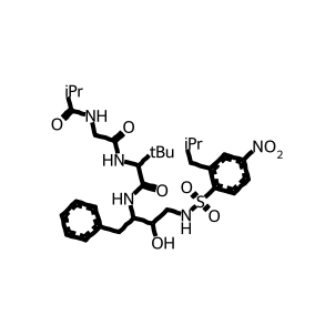 CC(C)Cc1cc([N+](=O)[O-])ccc1S(=O)(=O)NCC(O)C(Cc1ccccc1)NC(=O)C(NC(=O)CNC(=O)C(C)C)C(C)(C)C